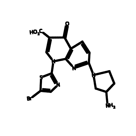 NC1CCN(c2ccc3c(=O)c(C(=O)O)cn(-c4ncc(Br)s4)c3n2)C1